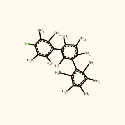 Bc1c(B)c(B)c(-c2c(B)c(B)c(B)c(-c3c(B)c(B)c(Br)c(B)c3B)c2B)c(B)c1B